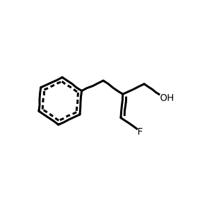 OCC(=CF)Cc1ccccc1